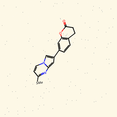 CSc1ccn2cc(-c3ccc4c(c3)OC(=O)CC4)cc2n1